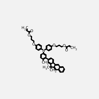 C=CC(=O)OCCCOc1ccc(N(c2ccc(OCCCOC(=O)C=C)cc2)c2ccc(C)c(-c3ccc4c(c3)C(C)(C)c3cc5ccccc5cc3-4)c2)cc1